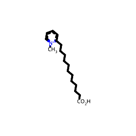 C[n+]1ccccc1CCCCCCCCCCCC(=O)O